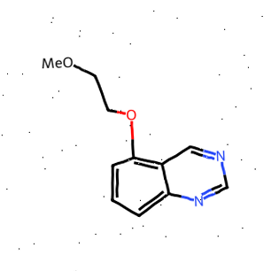 COCCOc1cccc2ncncc12